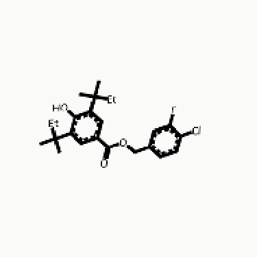 CCC(C)(C)c1cc(C(=O)OCc2ccc(Cl)c(F)c2)cc(C(C)(C)CC)c1O